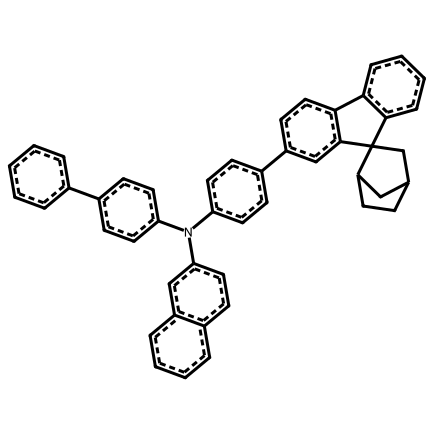 c1ccc(-c2ccc(N(c3ccc(-c4ccc5c(c4)C4(CC6CCC4C6)c4ccccc4-5)cc3)c3ccc4ccccc4c3)cc2)cc1